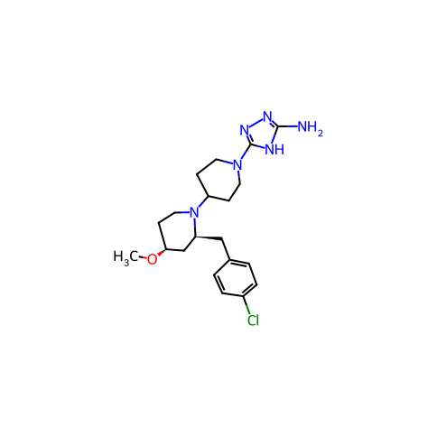 CO[C@H]1CCN(C2CCN(c3nnc(N)[nH]3)CC2)[C@@H](Cc2ccc(Cl)cc2)C1